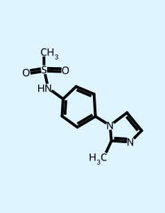 Cc1nccn1-c1ccc(NS(C)(=O)=O)cc1